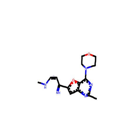 CN/C=C\C(=N)c1cc2nc(C)nc(N3CCOCC3)c2o1